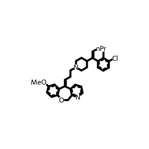 CCC/C=C(\c1cccc(Cl)c1C)C1CCN(CCC=C2c3cc(OC)ccc3OCc3ncccc32)CC1